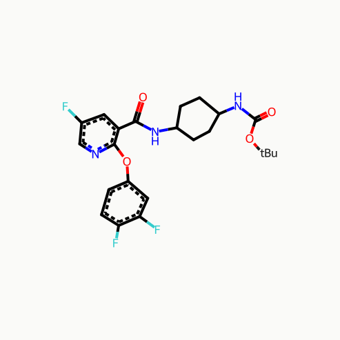 CC(C)(C)OC(=O)NC1CCC(NC(=O)c2cc(F)cnc2Oc2ccc(F)c(F)c2)CC1